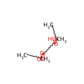 CCCCCCCCCCC(O)C(C)COC(=O)CCCCCCCCCCC(=O)OCC(C)C(O)CCCCCCCCCC